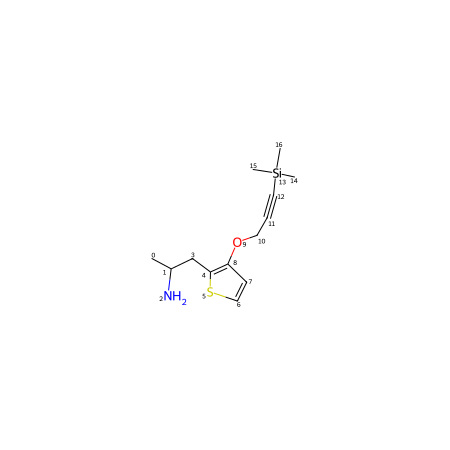 CC(N)Cc1sccc1OCC#C[Si](C)(C)C